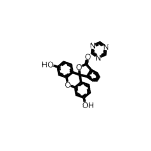 O=C1OC2(c3ccc(O)cc3Oc3cc(O)ccc32)c2ccccc21.c1ncncn1